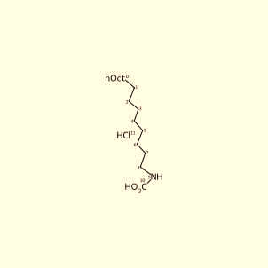 CCCCCCCCCCCCCCCCNC(=O)O.Cl